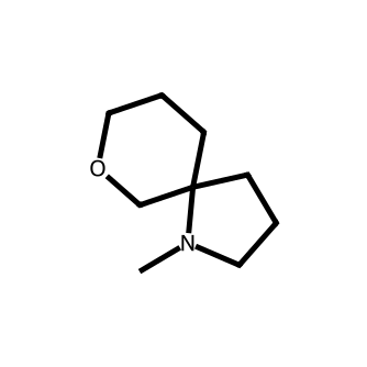 CN1CCCC12CCCOC2